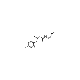 C=C/C=C\N=C(/C)[C@@H](C)N(C)Cc1ccc(C)cn1